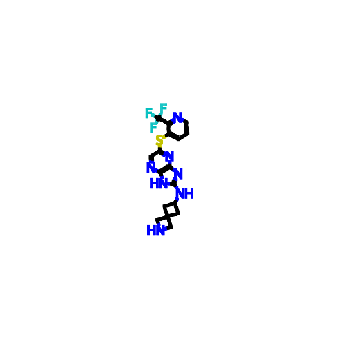 FC(F)(F)c1ncccc1Sc1cnc2[nH]c(NC3CC4(CNC4)C3)nc2n1